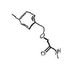 CNC(=O)COCc1ccc(C)cc1